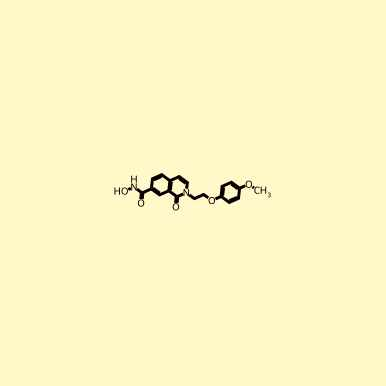 COc1ccc(OCCn2ccc3ccc(C(=O)NO)cc3c2=O)cc1